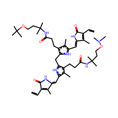 C=CC1=C(C)/C(=C/c2[nH]c(Cc3[nH]c(/C=C4\NC(=O)C(C=C)=C4C)c(C)c3CCC(=O)NC(C)(C)CCOC(C)(C)C)c(CCC(=O)NC(C)(C)CCON(C)C)c2C)NC1=O